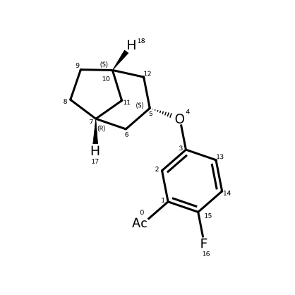 CC(=O)c1cc(O[C@@H]2C[C@@H]3CC[C@@H](C3)C2)ccc1F